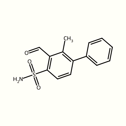 Cc1c(-c2ccccc2)ccc(S(N)(=O)=O)c1C=O